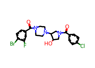 O=C(c1ccc(Br)c(F)c1)N1CCN(C2CN(C(=O)c3ccc(Cl)cc3)CC2O)CC1